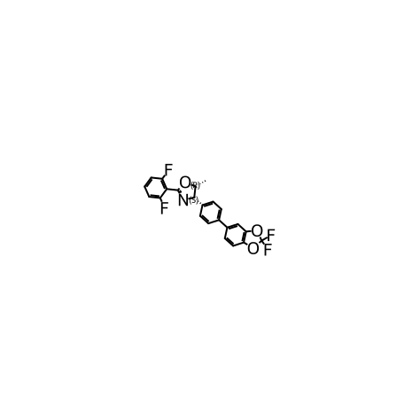 C[C@H]1OC(c2c(F)cccc2F)=N[C@H]1c1ccc(-c2ccc3c(c2)OC(F)(F)O3)cc1